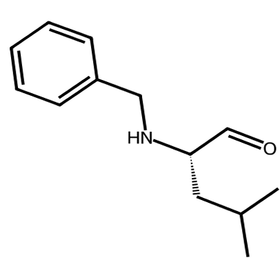 CC(C)C[C@@H](C=O)NCc1ccccc1